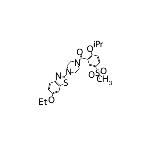 CCOc1ccc2nc(N3CCN(C(=O)c4cc(S(C)(=O)=O)ccc4OC(C)C)CC3)sc2c1